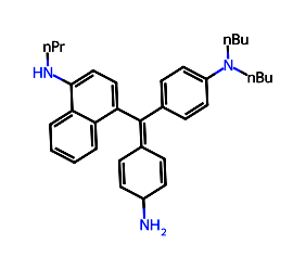 CCCCN(CCCC)c1ccc(C(=C2C=CC(N)C=C2)c2ccc(NCCC)c3ccccc23)cc1